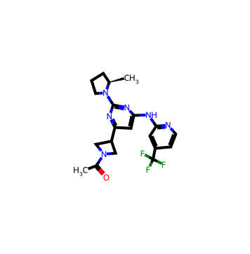 CC(=O)N1CC(c2cc(Nc3cc(C(F)(F)F)ccn3)nc(N3CCC[C@H]3C)n2)C1